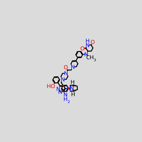 CN(c1cccc(C2=CCN(CC(=O)N3CCN(Cc4cccc(N5[C@@H]6CC[C@H]5CN(c5cc(-c7ccccc7O)nnc5N)C6)c4)CC3)CC2)c1)C1CCC(=O)NC1=O